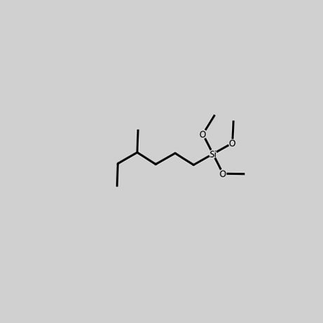 CCC(C)CCC[Si](OC)(OC)OC